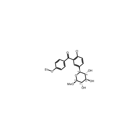 CCOc1ccc(C(=O)c2cc([C@@H]3O[C@H](OC)[C@@H](O)[C@H](O)[C@H]3O)ccc2Cl)cc1